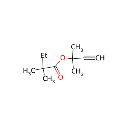 C#CC(C)(C)OC(=O)C(C)(C)CC